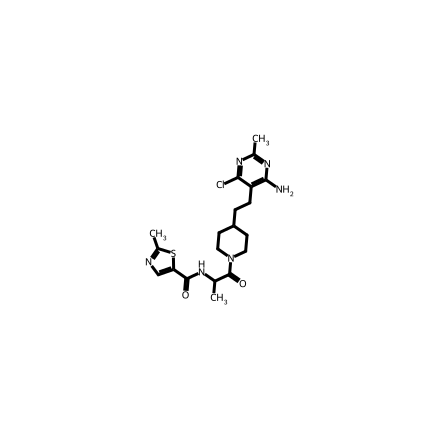 Cc1nc(N)c(CCC2CCN(C(=O)C(C)NC(=O)c3cnc(C)s3)CC2)c(Cl)n1